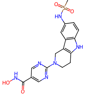 CS(=O)(=O)Nc1ccc2[nH]c3c(c2c1)CN(c1ncc(C(=O)NO)cn1)CC3